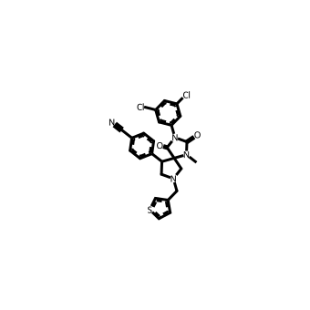 CN1C(=O)N(c2cc(Cl)cc(Cl)c2)C(=O)C12CN(Cc1ccsc1)CC2c1ccc(C#N)cc1